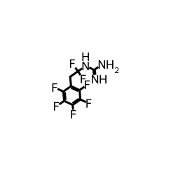 N=C(N)NC(F)(F)Cc1c(F)c(F)c(F)c(F)c1F